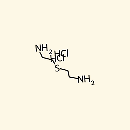 Cl.Cl.NCCSCCN